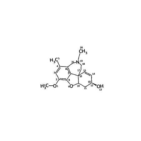 COc1cc(C)c2c3c1OC1C[C@H](O)C=CC31CCN(C)C2